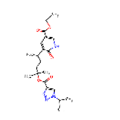 CCOC(=O)c1c[nH]c(=O)c(C(C)CCC(C)(C)OC(=O)c2cn(C(C)C)nn2)c1